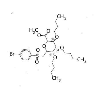 CCCCO[C@@H]1[C@H](OCCCC)C(CS(=O)(=O)c2ccc(Br)cc2)OC(C(=O)OC)[C@H]1OCCCC